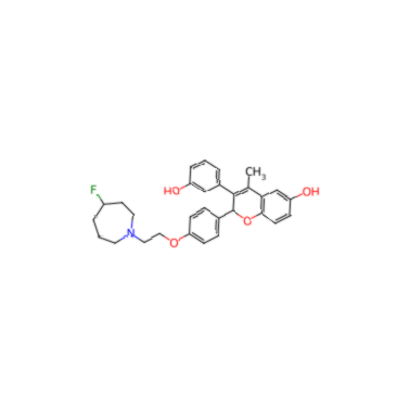 CC1=C(c2cccc(O)c2)C(c2ccc(OCCN3CCCC(F)CC3)cc2)Oc2ccc(O)cc21